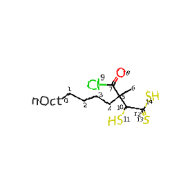 CCCCCCCCCCCCC(C)(C(=O)Cl)C(S)C(=S)S